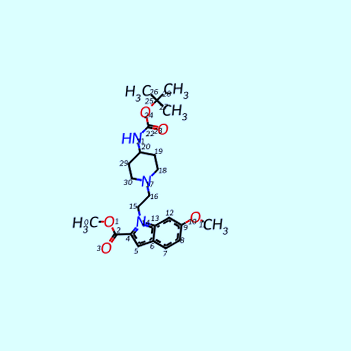 COC(=O)c1cc2ccc(OC)cc2n1CCN1CCC(NC(=O)OC(C)(C)C)CC1